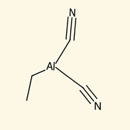 C[CH2][Al]([C]#N)[C]#N